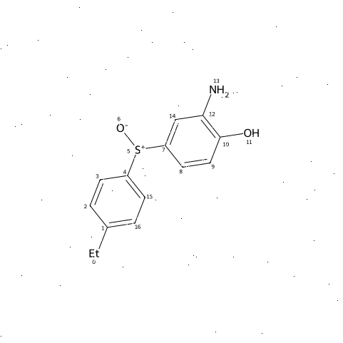 CCc1ccc([S+]([O-])c2ccc(O)c(N)c2)cc1